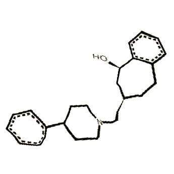 O[C@@H]1C[C@H](CN2CCC(c3ccccc3)CC2)CCc2ccccc21